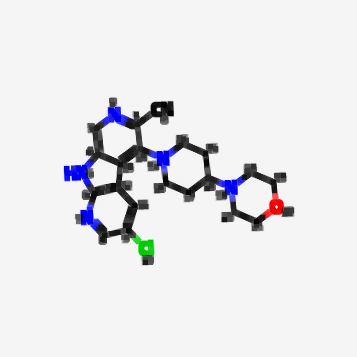 N#Cc1ncc2[nH]c3ncc(Cl)cc3c2c1N1CCC(N2CCOCC2)CC1